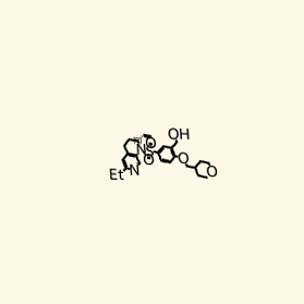 C=C[C@H]1CCc2cc(CC)ncc2N1S(=O)(=O)c1ccc(OCC2CCOCC2)c(CO)c1